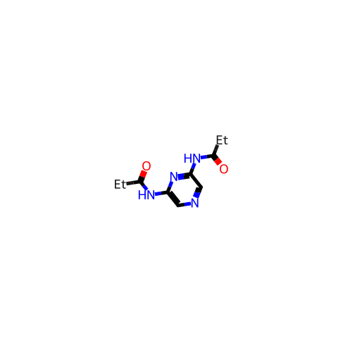 CCC(=O)Nc1cncc(NC(=O)CC)n1